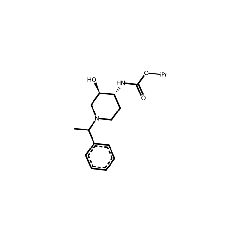 CC(C)OC(=O)N[C@@H]1CCN(C(C)c2ccccc2)C[C@H]1O